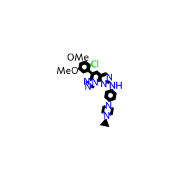 COc1cc(OC)c(Cl)c(-c2cc3cnc(Nc4ccc(N5CCN(C6CC6)CC5)cc4)nc3n3cnnc23)c1